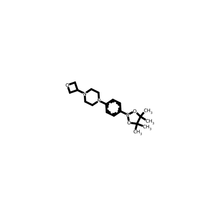 CC1(C)OB(c2ccc(N3CCN(C4COC4)CC3)cc2)OC1(C)C